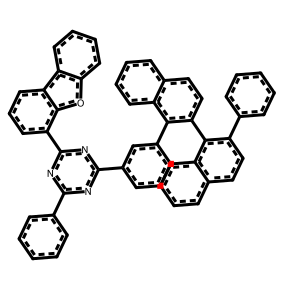 c1ccc(-c2nc(-c3cccc(-c4c(-c5c(-c6ccccc6)ccc6ccccc56)ccc5ccccc45)c3)nc(-c3cccc4c3oc3ccccc34)n2)cc1